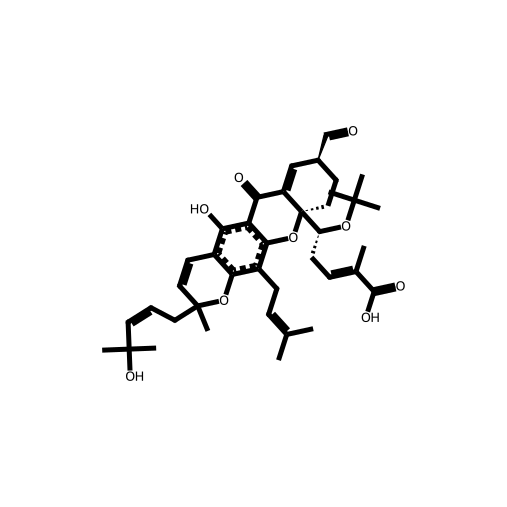 CC(C)=CCc1c2c(c(O)c3c1O[C@@]1([C@@H](C/C=C(\C)C(=O)O)OC(C)(C)C)CC[C@H](C=O)C=C1C3=O)C=CC(C)(C/C=C\C(C)(C)O)O2